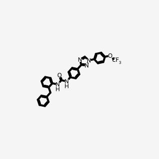 O=C(Nc1ccc(-c2ncn(-c3ccc(OC(F)(F)F)cc3)n2)cc1)Nc1ccccc1Cc1ccccc1